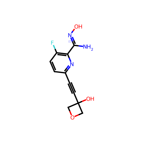 N/C(=N\O)c1nc(C#CC2(O)COC2)ccc1F